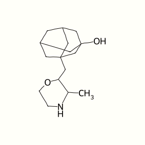 CC1NCCOC1CC12CC3CC(CC(O)(C3)C1)C2